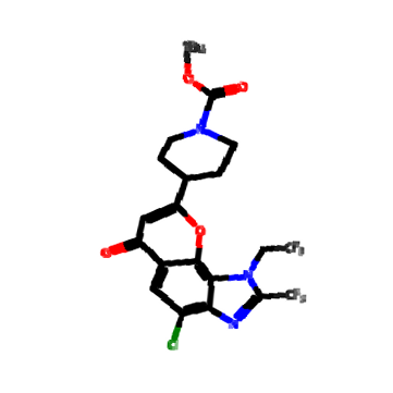 CC(C)(C)OC(=O)N1CCC(c2cc(=O)c3cc(Cl)c4nc(C(F)(F)F)n(CC(F)(F)F)c4c3o2)CC1